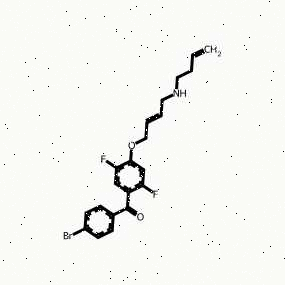 C=CCCNCC=CCOc1cc(F)c(C(=O)c2ccc(Br)cc2)cc1F